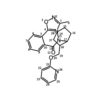 Cc1noc(-c2ccccc2C(=O)N2C3CCC2C(COc2ccccn2)C3)n1